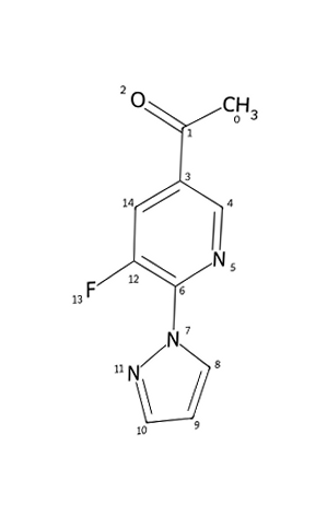 CC(=O)c1cnc(-n2cccn2)c(F)c1